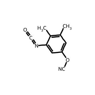 Cc1cc(OC#N)cc(N=C=O)c1C